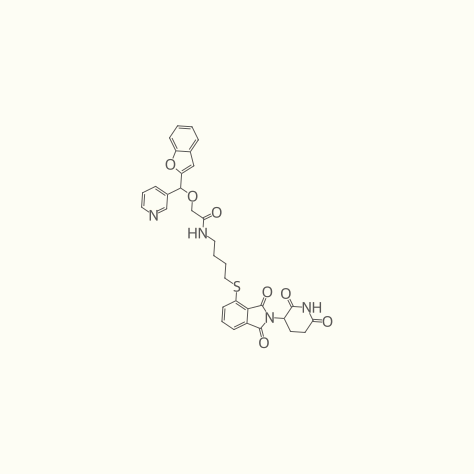 O=C(COC(c1cccnc1)c1cc2ccccc2o1)NCCCCSc1cccc2c1C(=O)N(C1CCC(=O)NC1=O)C2=O